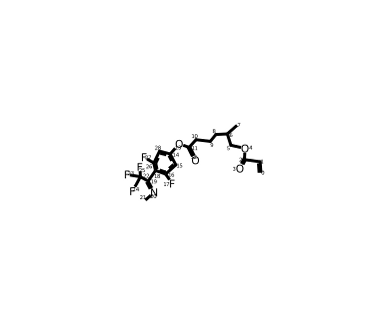 C=CC(=O)OCC(C)CCCC(=O)Oc1cc(F)c(/C(=N/C)C(F)(F)F)c(F)c1